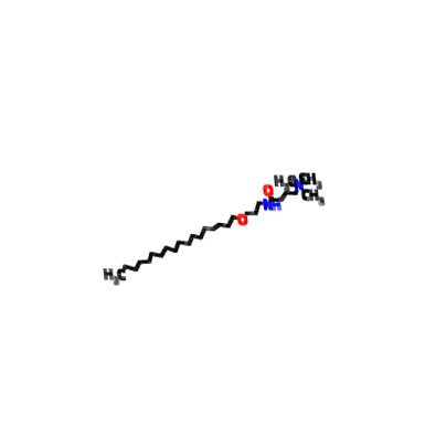 CCCCCCCCCCCCCCCCCCOCCCNC(=O)CCC[N+](C)(C)C